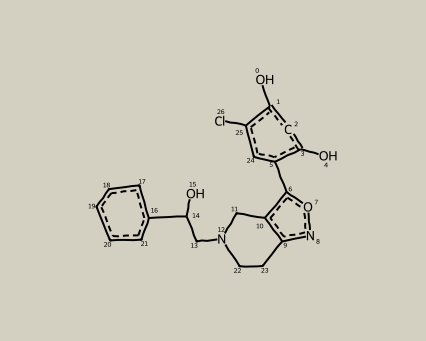 Oc1cc(O)c(-c2onc3c2CN(CC(O)c2ccccc2)CC3)cc1Cl